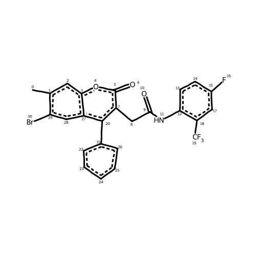 Cc1cc2oc(=O)c(CC(=O)Nc3ccc(F)cc3C(F)(F)F)c(-c3ccccc3)c2cc1Br